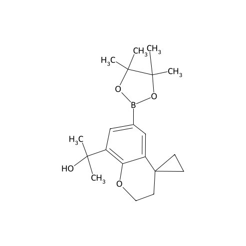 CC(C)(O)c1cc(B2OC(C)(C)C(C)(C)O2)cc2c1OCCC21CC1